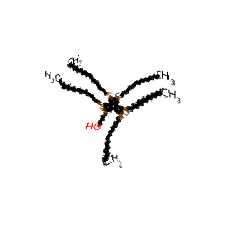 CCCCCCCCCCCCCCCCSc1cc2c(cc1SCCCCCO)c1cc(SCCCCCCCCCCCCCCCC)c(SCCCCCCCCCCCCCCCC)cc1c1cc(SCCCCCCCCCCCCCCCC)c(SCCCCCCCCCCCCCCCC)cc21